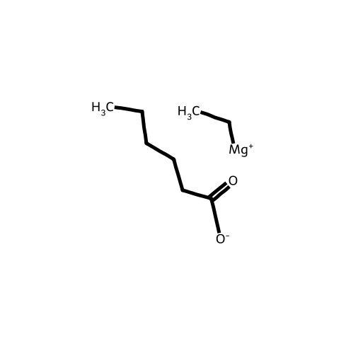 CCCCCC(=O)[O-].C[CH2][Mg+]